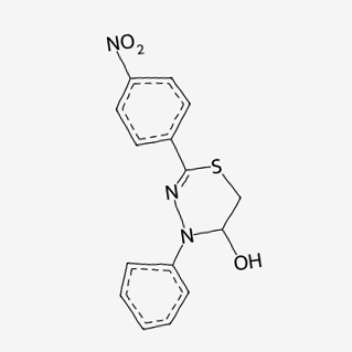 O=[N+]([O-])c1ccc(C2=NN(c3ccccc3)C(O)CS2)cc1